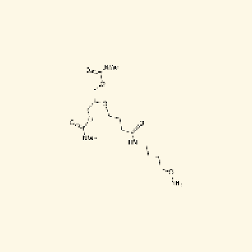 CNC(=O)OCC(COC(=O)NC)OCCCC(=O)NCCCCON